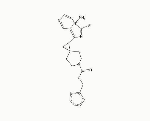 N[N+]12C=CN=CC1=C(C1CC13CCN(C(=O)OCc1ccccc1)CC3)N=C2Br